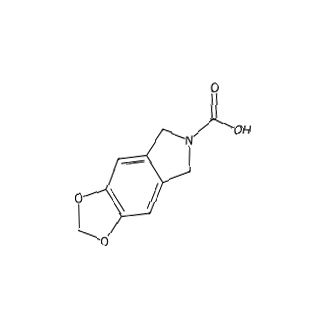 O=C(O)N1Cc2cc3c(cc2C1)OCO3